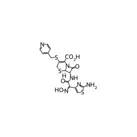 Nc1nc(/C(=N/O)C(=O)N[C@@H]2C(=O)N3C(C(=O)O)=C(SCc4ccncc4)CS[C@H]23)cs1